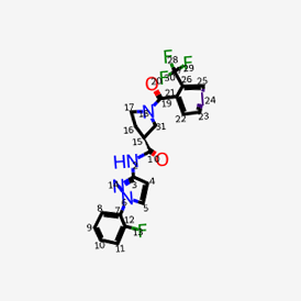 O=C(Nc1ccn(-c2ccccc2F)n1)[C@H]1CCN(C(=O)C2=CC=IC=C2C(F)(F)F)C1